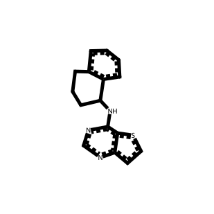 c1ccc2c(c1)CCCC2Nc1ncnc2ccsc12